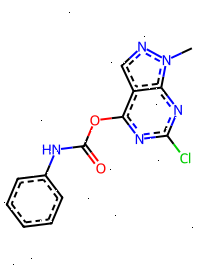 Cn1ncc2c(OC(=O)Nc3ccccc3)nc(Cl)nc21